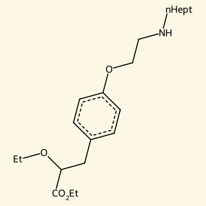 CCCCCCCNCCOc1ccc(CC(OCC)C(=O)OCC)cc1